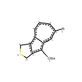 COc1c2cc(C(C)C)cccc-2c2c1CSC2